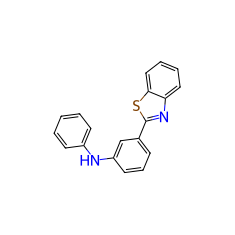 c1ccc(Nc2cccc(-c3nc4ccccc4s3)c2)cc1